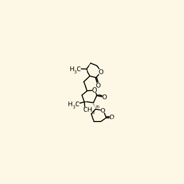 CC1CCOC(=O)C1CC1CC(C)(C)C([C@H]2CCCC(=O)O2)C(=O)O1